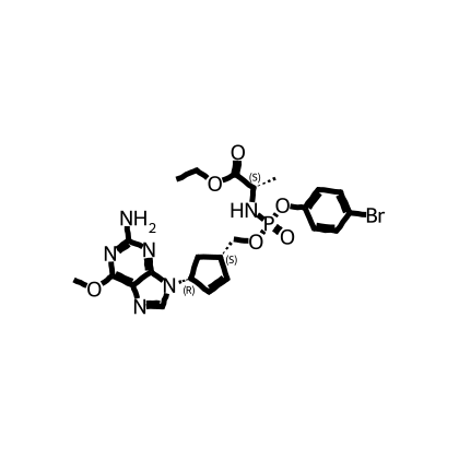 CCOC(=O)[C@H](C)NP(=O)(OC[C@@H]1C=C[C@H](n2cnc3c(OC)nc(N)nc32)C1)Oc1ccc(Br)cc1